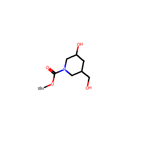 CC(C)(C)OC(=O)N1CC(O)CC(CO)C1